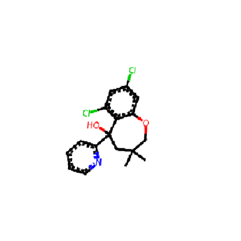 CC1(C)COc2cc(Cl)cc(Cl)c2C(O)(c2ccccn2)C1